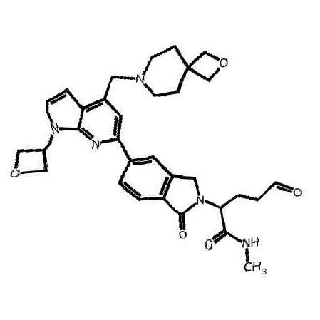 CNC(=O)C(CCC=O)N1Cc2cc(-c3cc(CN4CCC5(CC4)COC5)c4ccn(C5COC5)c4n3)ccc2C1=O